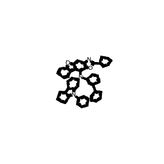 c1ccc(-c2cccc(N(c3ccc4c5ccccc5n(-c5ccccc5)c4c3)c3c4oc(-c5ccccc5)nc4cc4oc5ccccc5c34)c2)cc1